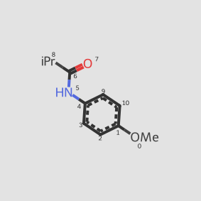 COc1ccc(NC(=O)C(C)C)cc1